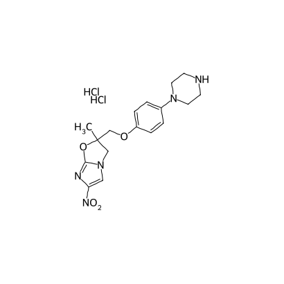 CC1(COc2ccc(N3CCNCC3)cc2)Cn2cc([N+](=O)[O-])nc2O1.Cl.Cl